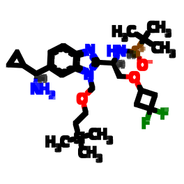 CC(C)(C)[S@@+]([O-])N[C@@H](COC1CC(F)(F)C1)c1nc2ccc([C@H](N)C3CC3)cc2n1COCC[Si](C)(C)C